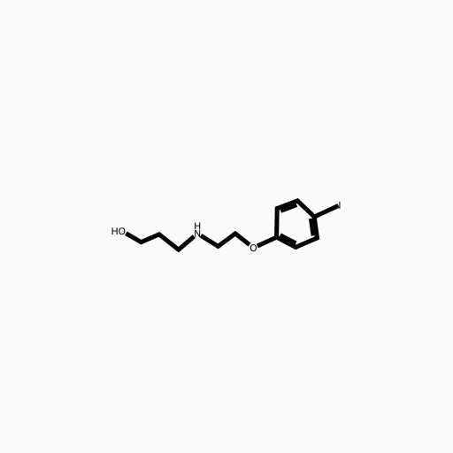 OCCCNCCOc1ccc(I)cc1